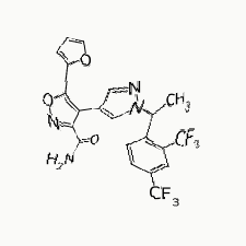 CC(c1ccc(C(F)(F)F)cc1C(F)(F)F)n1cc(-c2c(C(N)=O)noc2-c2ccco2)cn1